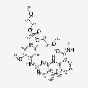 CNC(=O)c1ccccc1Nc1nc(Nc2ccc(CP(=O)(OCCOC)OCCOC)cc2OC)ncc1C(F)(F)F